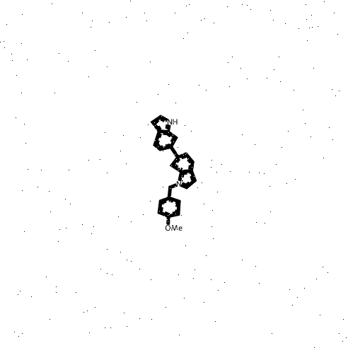 COc1ccc(Cn2ccc3ccc(-c4ccc5cc[nH]c5c4)cc32)cc1